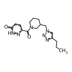 CCCc1cn(CC2CCCN(C(=O)c3ccc(=O)[nH]n3)C2)nn1